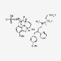 COc1ccc(CN(CCN(C)C)c2ccccn2)cc1.COc1ccc2c3c1O[C@H]1[C@@H](O)C=C[C@H]4[C@@H](C2)N(C)CC[C@@]341.O=C(O)/C=C\C(=O)O.O=P(O)(O)O